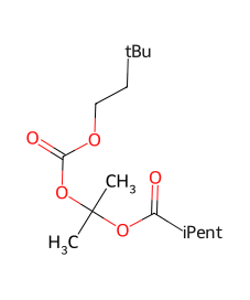 CCCC(C)C(=O)OC(C)(C)OC(=O)OCCC(C)(C)C